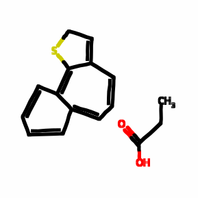 C1=CC2=CCSC2=c2ccccc2=C1.CCC(=O)O